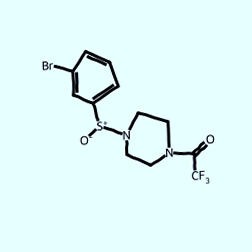 O=C(N1CCN([S+]([O-])c2cccc(Br)c2)CC1)C(F)(F)F